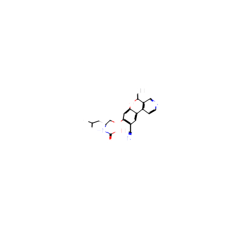 CC(C)C[C@@H](COc1cc2c(cc1C#N)-c1ccncc1C(C)O2)NC(=O)O